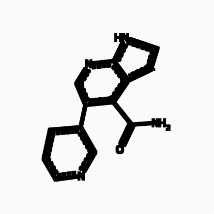 NC(=O)c1c(-c2cccnc2)cnc2[nH]c[c]c12